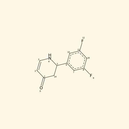 O=C1C=CNC(c2cc(F)cc(F)c2)C1